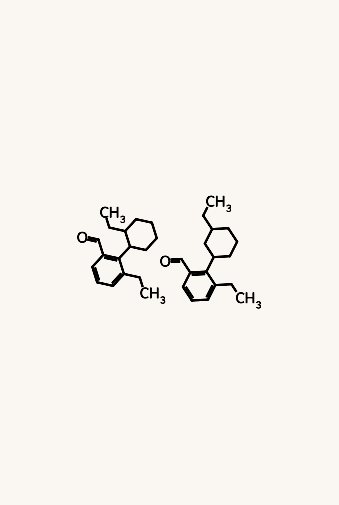 CCc1cccc(C=O)c1C1CCCC(CC)C1.CCc1cccc(C=O)c1C1CCCCC1CC